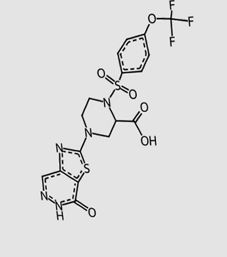 O=C(O)C1CN(c2nc3cn[nH]c(=O)c3s2)CCN1S(=O)(=O)c1ccc(OC(F)(F)F)cc1